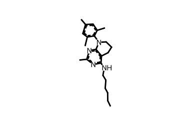 CCCCCCNc1nc(C)nc2c1CCCN2c1c(C)cc(C)cc1C